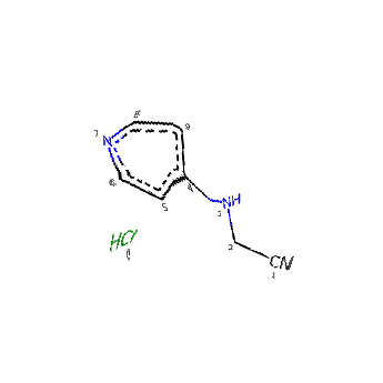 Cl.N#CCNc1ccncc1